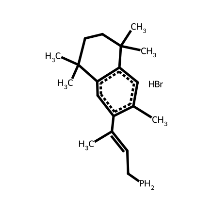 Br.CC(=CCP)c1cc2c(cc1C)C(C)(C)CCC2(C)C